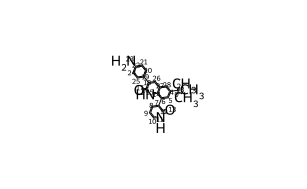 CC(C)(C)c1cc(-c2ccc[nH]c2=O)c2[nH]c(=O)c(-c3ccc(N)cc3)cc2c1